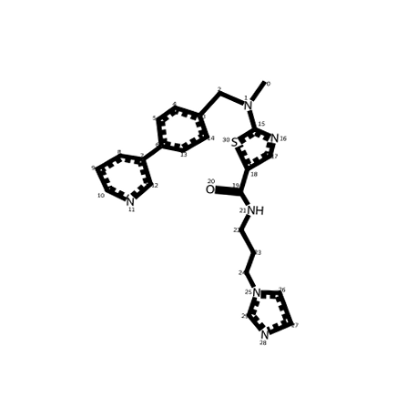 CN(Cc1ccc(-c2cccnc2)cc1)c1ncc(C(=O)NCCCn2ccnc2)s1